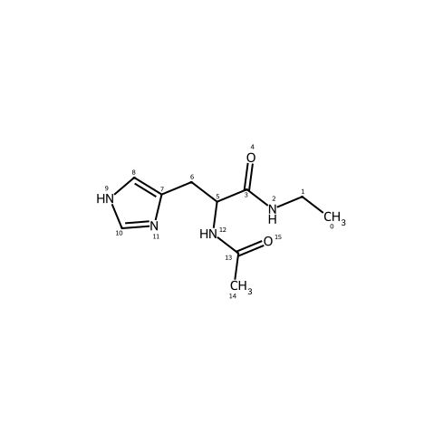 CCNC(=O)C(Cc1c[nH]cn1)NC(C)=O